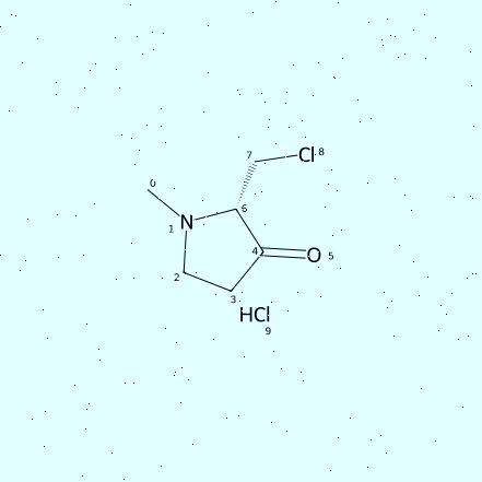 CN1CCC(=O)[C@H]1CCl.Cl